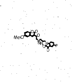 COc1ccc2oc(=O)c(C(=O)Cn3cc(CN4C(=O)C(=O)c5cc(F)ccc54)nn3)cc2c1